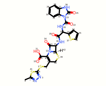 Cc1nnc(SCC2=C(C(=O)O)N3C(=O)C(NC(=O)C(NC(=O)n4c(=O)[nH]c5ccccc54)c4cccs4)[C@H]3SC2)s1